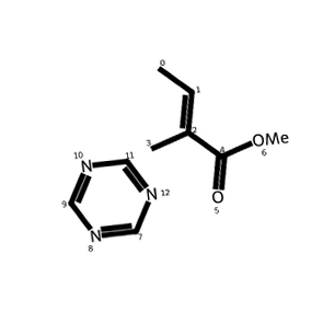 CC=C(C)C(=O)OC.c1ncncn1